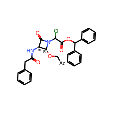 CC(=O)CO[C@@H]1[C@@H](NC(=O)Cc2ccccc2)C(=O)N1C(Cl)C(=O)OC(c1ccccc1)c1ccccc1